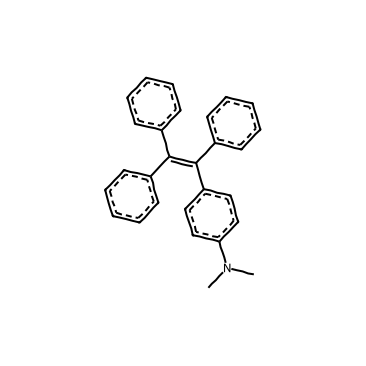 CN(C)c1ccc(C(=C(c2ccccc2)c2ccccc2)c2ccccc2)cc1